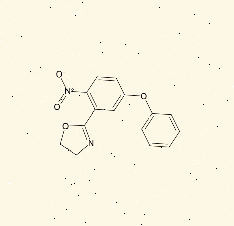 O=[N+]([O-])c1ccc(Oc2ccccc2)cc1C1=NCCO1